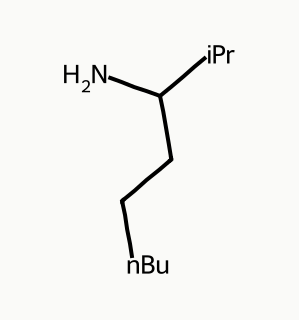 CCCCCCC(N)C(C)C